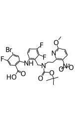 COc1ccc([N+](=O)[O-])c(CCN(Cc2c(Nc3cc(Br)c(F)cc3C(=O)O)ccc(F)c2F)C(=O)OC(C)(C)C)n1